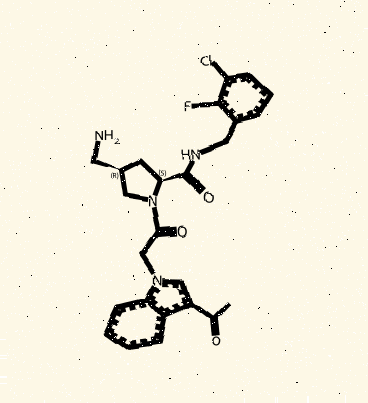 CC(=O)c1cn(CC(=O)N2C[C@@H](CN)C[C@H]2C(=O)NCc2cccc(Cl)c2F)c2ccccc12